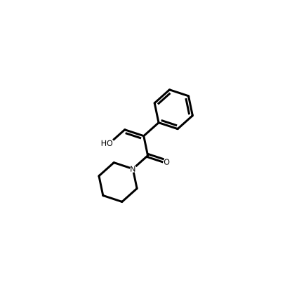 O=C(C(=CO)c1ccccc1)N1CCCCC1